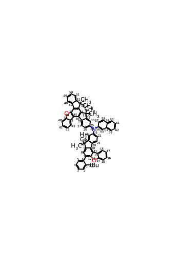 CC(C)(C)c1ccccc1-c1cc2c(c3c1oc1ccccc13)-c1ccc(N(c3ccc4c(c3)C(C)(C)c3c5c(c6oc7ccccc7c6c3-4)-c3ccccc3C5(C)C)c3ccc4ccccc4c3)cc1C2(C)C